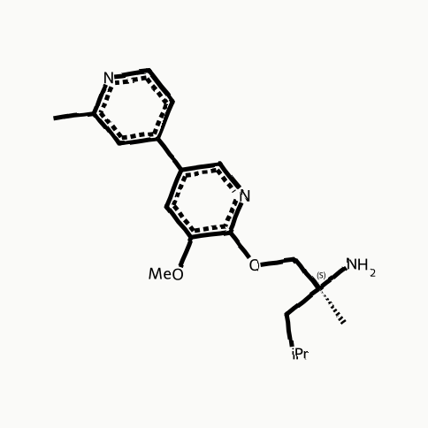 COc1cc(-c2ccnc(C)c2)cnc1OC[C@@](C)(N)CC(C)C